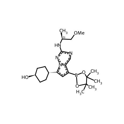 COC[C@H](C)Nc1ncc2c(B3OC(C)(C)C(C)(C)O3)cc([C@H]3CC[C@H](O)CC3)n2n1